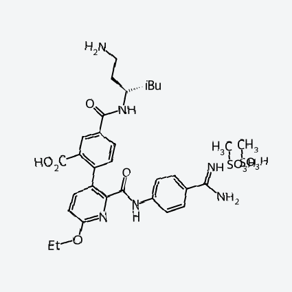 CCOc1ccc(-c2ccc(C(=O)N[C@@H](CCN)[C@@H](C)CC)cc2C(=O)O)c(C(=O)Nc2ccc(C(=N)N)cc2)n1.CS(=O)(=O)O.CS(=O)(=O)O